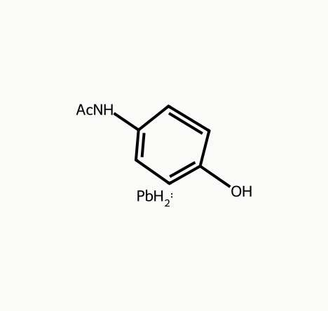 CC(=O)Nc1ccc(O)cc1.[PbH2]